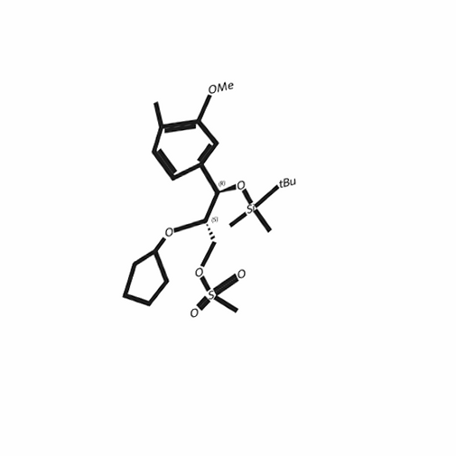 COc1cc([C@@H](O[Si](C)(C)C(C)(C)C)[C@H](COS(C)(=O)=O)OC2CCCC2)ccc1C